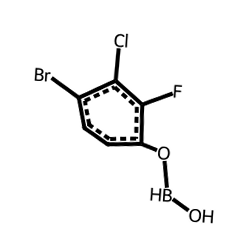 OBOc1ccc(Br)c(Cl)c1F